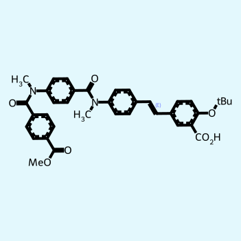 COC(=O)c1ccc(C(=O)N(C)c2ccc(C(=O)N(C)c3ccc(/C=C/c4ccc(OC(C)(C)C)c(C(=O)O)c4)cc3)cc2)cc1